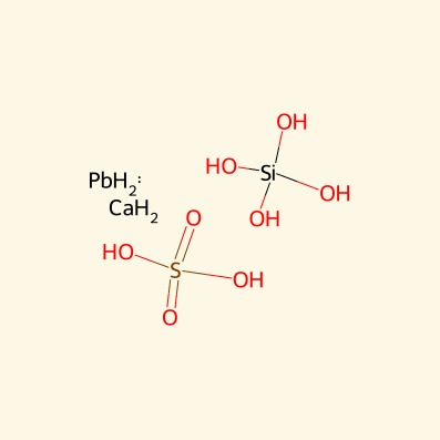 O=S(=O)(O)O.O[Si](O)(O)O.[CaH2].[PbH2]